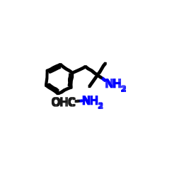 CC(C)(N)Cc1ccccc1.NC=O